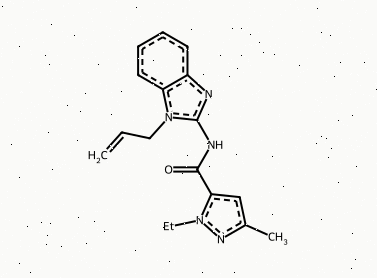 C=CCn1c(NC(=O)c2cc(C)nn2CC)nc2ccccc21